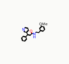 COc1cccc(CCNC(=O)/C=C(/c2ccccc2)c2cccnc2)c1